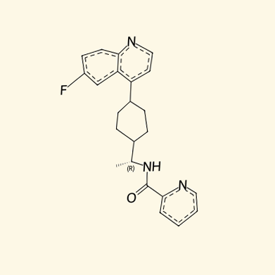 C[C@@H](NC(=O)c1ccccn1)C1CCC(c2ccnc3ccc(F)cc23)CC1